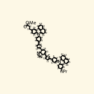 CCCc1ccc(N(c2ccc(-c3ccc(-c4ccc(-c5ccc(-c6ccc(N(c7ccc(CCC(=O)OC)cc7)c7cccc8ccccc78)cc6)s5)c5nsnc45)s3)cc2)c2cccc3ccccc23)cc1